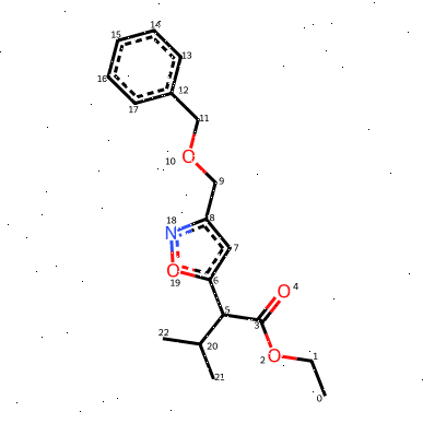 CCOC(=O)C(c1cc(COCc2ccccc2)no1)C(C)C